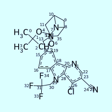 CC(C)(C)OC(=O)N1C2CC1CN(Cc1ccc3c(c1)c1ncc(C#N)c(Cl)c1n3CC(F)(F)F)C2